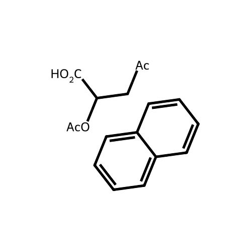 CC(=O)CC(OC(C)=O)C(=O)O.c1ccc2ccccc2c1